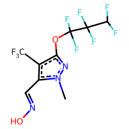 Cn1nc(OC(F)(F)C(F)(F)C(F)F)c(C(F)(F)F)c1C=NO